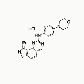 CC(C)n1nnc2ccc3cnc(Nc4ccc(N5CCOCC5)cn4)nc3c21.Cl